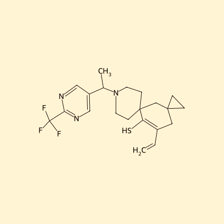 C=CC1=C(S)C2(CCN(C(C)c3cnc(C(F)(F)F)nc3)CC2)CC2(CC2)C1